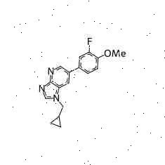 COc1ccc(-c2cnc3ncn(CC4CC4)c3c2)cc1F